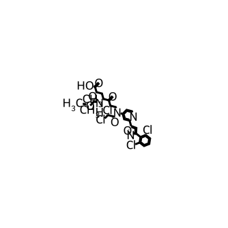 CC(C)(C)OC(=O)NC(CCC(=O)O)C(=O)CCN(C(=O)C(Cl)Cl)c1ccnc(-c2cc(-c3c(Cl)cccc3Cl)no2)c1